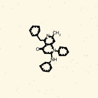 Cc1cc2c(c(Cc3ccccc3)n1)c(=O)cc(Nc1ccccc1)n2-c1ccccc1